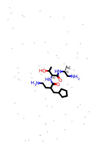 CC(=O)[C@H](CN)NC(=O)[C@@H](NC(=O)C(CCN)CC1CCCC1)C(C)O